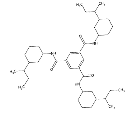 CCC(C)C1CCCC(NC(=O)c2cc(C(=O)NC3CCCC(C(C)CC)C3)cc(C(=O)NC3CCCC(C(C)CC)C3)c2)C1